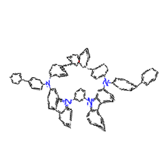 c1ccc(-c2ccc(N(c3ccc(-c4ccccc4)cc3)c3ccc4c5ccccc5n(-c5cccc(-n6c7ccccc7c7ccc(N(c8ccc(-c9ccccc9)cc8)c8ccc(-c9ccccc9)cc8)cc76)c5)c4c3)cc2)cc1